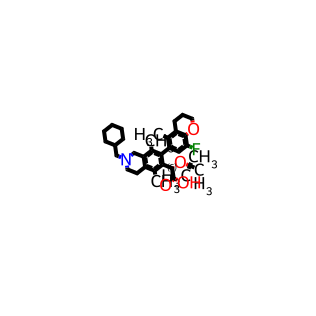 Cc1c(-c2c(C)c3c(c(C)c2[C@H](OC(C)(C)C)C(=O)O)CCN(CC2CCCCC2)C3)cc(F)c2c1CCCO2